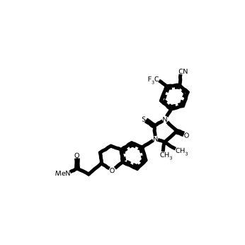 CNC(=O)CC1CCc2cc(N3C(=S)N(c4ccc(C#N)c(C(F)(F)F)c4)C(=O)C3(C)C)ccc2O1